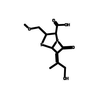 COCC1SC2C(=C(C)CO)C(=O)N2C1C(=O)O